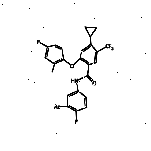 CC(=O)c1cc(NC(=O)c2cc(C(F)(F)F)c(C3CC3)cc2Oc2ccc(F)cc2C)ccc1F